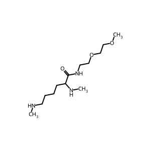 CNCCCCC(NC)C(=O)NCCOCCOC